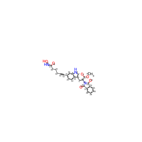 COC(=O)[C@H](Cc1c[nH]c2cc(C#CCCCC(=O)NO)ccc12)N1C(=O)c2ccccc2C1=O